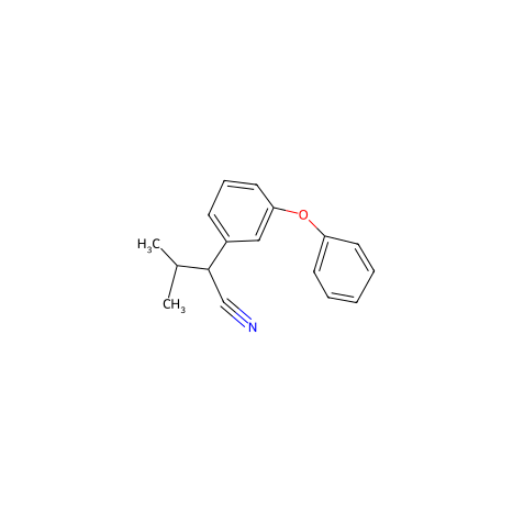 CC(C)C(C#N)c1cccc(Oc2ccccc2)c1